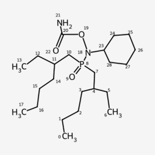 CCCCC(CC)CP(=O)(CC(CC)CCCC)N(OC(N)=O)C1CCCCC1